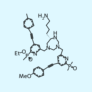 CCOP(C)(=O)c1cc(C#Cc2ccc(C)cc2)cc(CN2C[C@H](CCCCN)NCN(Cc3cc(C#Cc4ccc(OC)cc4)cc(P(C)(C)=O)n3)C2)n1